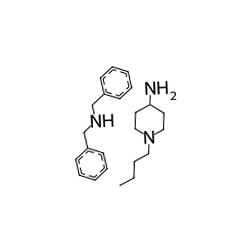 CCCCN1CCC(N)CC1.c1ccc(CNCc2ccccc2)cc1